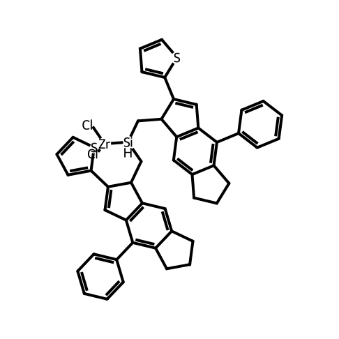 [Cl][Zr]([Cl])[SiH](CC1C(c2cccs2)=Cc2c1cc1c(c2-c2ccccc2)CCC1)CC1C(c2cccs2)=Cc2c1cc1c(c2-c2ccccc2)CCC1